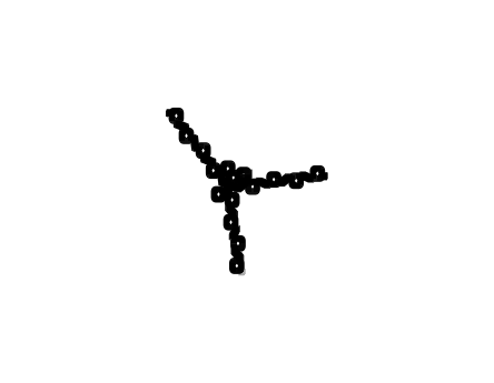 COCCOCCOCCOC(=O)CC(O)(CC(=O)OCCOCCOCCOC)C(=O)OCCOCCOCCOC